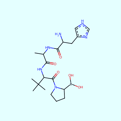 CC(NC(=O)C(N)Cc1c[nH]cn1)C(=O)NC(C(=O)N1CCCC1B(O)O)C(C)(C)C